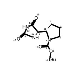 CC(C)(C)OC(=O)N1CCC[C@H]1[C@@H]1NC(=O)NC1=O